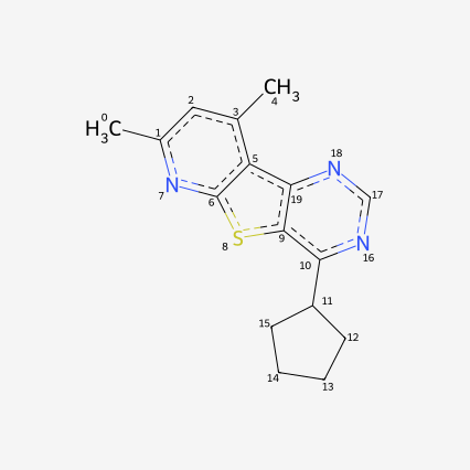 Cc1cc(C)c2c(n1)sc1c(C3CCCC3)ncnc12